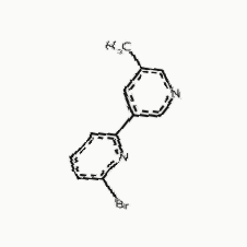 Cc1cncc(-c2cccc(Br)n2)c1